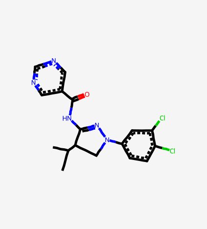 CC(C)C1CN(c2ccc(Cl)c(Cl)c2)N=C1NC(=O)c1cncnc1